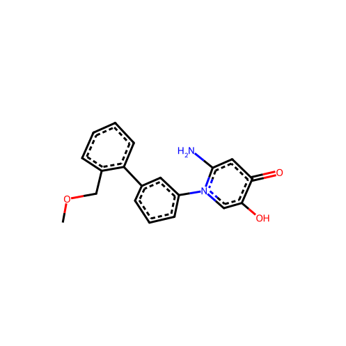 COCc1ccccc1-c1cccc(-n2cc(O)c(=O)cc2N)c1